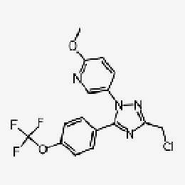 COc1ccc(-n2nc(CCl)nc2-c2ccc(OC(F)(F)F)cc2)cn1